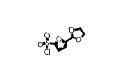 O=S(=O)(Cl)c1ccc(C2OCCO2)o1